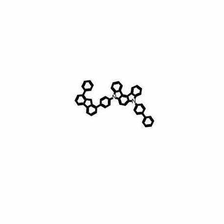 c1ccc(-c2ccc(-n3c4ccccc4c4c5c6ccccc6n(-c6ccc(-c7cccc8c7Cc7c(-c9ccccc9)cccc7-8)cc6)c5ccc43)cc2)cc1